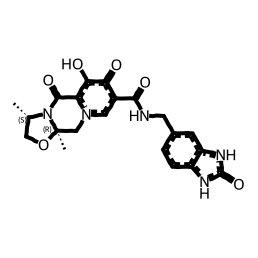 C[C@H]1CO[C@]2(C)Cn3cc(C(=O)NCc4ccc5[nH]c(=O)[nH]c5c4)c(=O)c(O)c3C(=O)N12